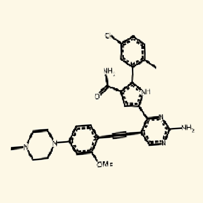 COc1cc(N2CCN(C)CC2)ccc1C#Cc1cnc(N)nc1-c1cc(C(N)=O)c(-c2cc(Cl)ccc2C)[nH]1